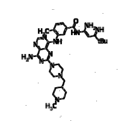 Cc1ccc(C(=O)N/C(N)=C/C(=N)C(C)(C)C)cc1Nc1ncnc2c(N)nc(N3CCN(CC4CCN(C)CC4)CC3)nc12